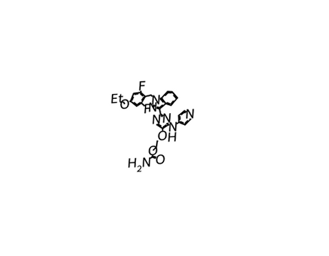 CCOc1cc(F)c(Cn2nc(-c3ncc(OCCOC(N)=O)c(Nc4ccncc4)n3)c3ccccc32)c(F)c1